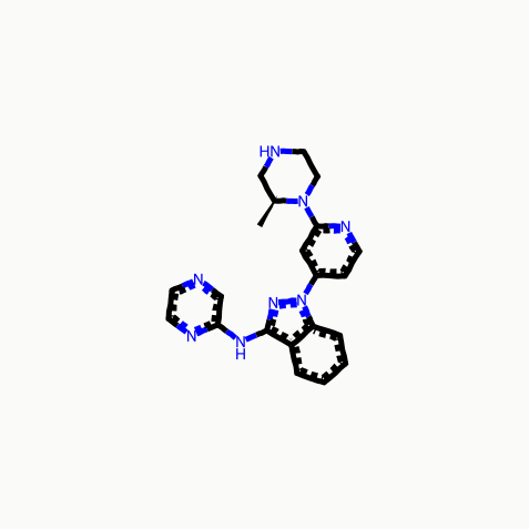 C[C@H]1CNCCN1c1cc(-n2nc(Nc3cnccn3)c3ccccc32)ccn1